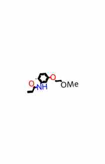 C=CC(=O)Nc1[c]ccc(OCCOC)c1